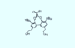 CCCCc1cc(CCO)cc2c1op(C(=O)CC)oc1c(CCCC)cc(CCO)cc12